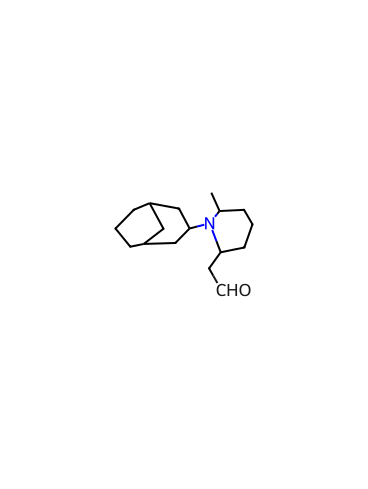 CC1CCCC(CC=O)N1C1CC2CCCC(C2)C1